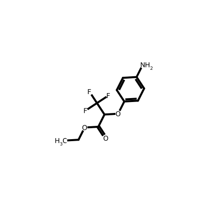 CCOC(=O)C(Oc1ccc(N)cc1)C(F)(F)F